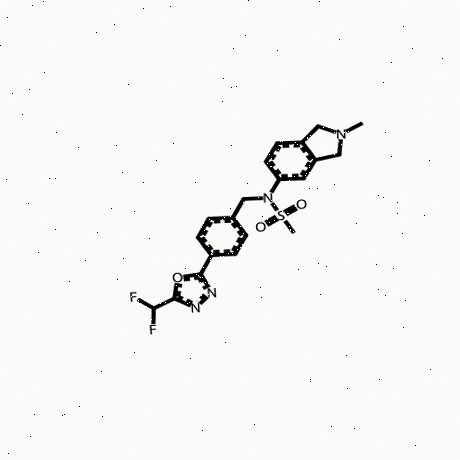 CN1Cc2ccc(N(Cc3ccc(-c4nnc(C(F)F)o4)cc3)S(C)(=O)=O)cc2C1